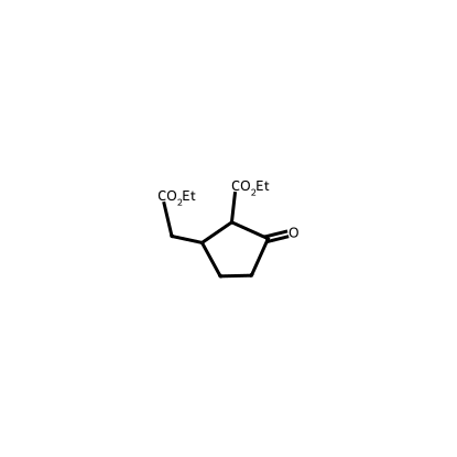 CCOC(=O)CC1CCC(=O)C1C(=O)OCC